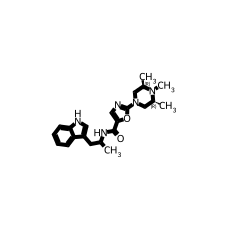 CC(Cc1c[nH]c2ccccc12)NC(=O)c1cnc(N2C[C@@H](C)N(C)[C@H](C)C2)o1